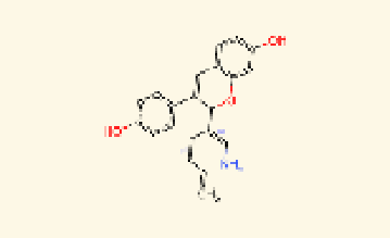 C=C/C=C\C(=C/N)C1Oc2cc(O)ccc2C=C1c1ccc(O)cc1